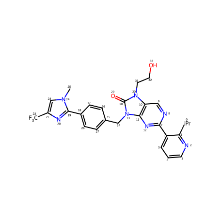 CC(C)c1ncccc1-c1ncc2c(n1)n(Cc1ccc(-c3nc(C(F)(F)F)cn3C)cc1)c(=O)n2CCO